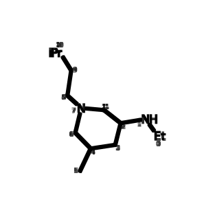 CCNC1CC(C)CN(CCC(C)C)C1